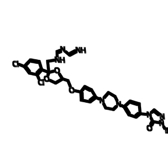 CCC(C)n1ncn(-c2ccc(N3CCN(c4ccc(OCC5COC(CN/C=N\C=N)(c6ccc(Cl)cc6Cl)O5)cc4)CC3)cc2)c1=O